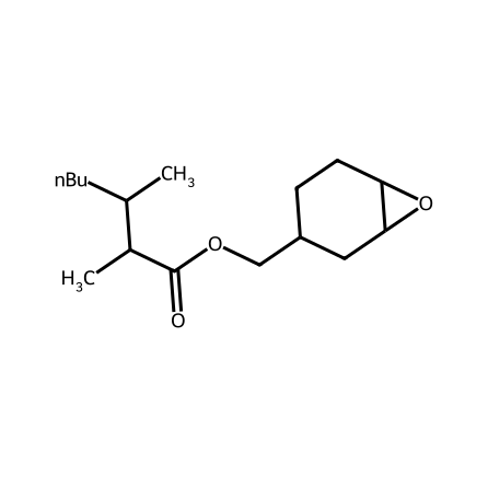 CCCCC(C)C(C)C(=O)OCC1CCC2OC2C1